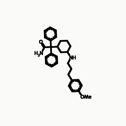 COc1ccc(CCCNC2CCCC(C(C(N)=O)(c3ccccc3)c3ccccc3)C2)cc1